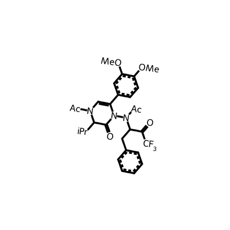 COc1ccc(C2=CN(C(C)=O)C(C(C)C)C(=O)N2N(C(C)=O)C(Cc2ccccc2)C(=O)C(F)(F)F)cc1OC